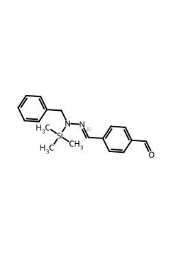 C[Si](C)(C)N(Cc1ccccc1)/N=C/c1ccc(C=O)cc1